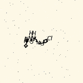 Cn1nc(C2CCC2)cc1NC(=O)NC(C)(C)CCN1CC(Oc2ccc(Cl)cc2)C1